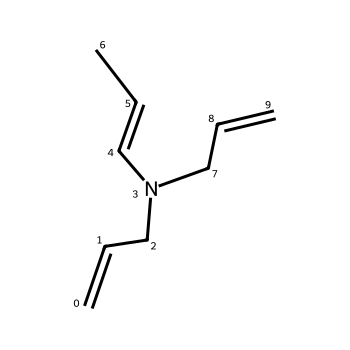 C=CCN(C=CC)CC=C